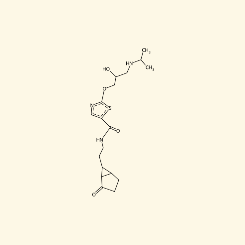 CC(C)NCC(O)COc1ncc(C(=O)NCCC2C3CCC(=O)C23)s1